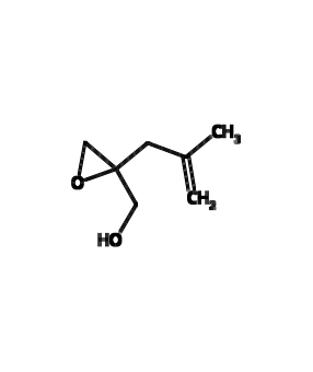 C=C(C)CC1(CO)CO1